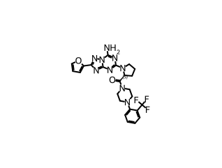 Nc1nc(N2CCC[C@H]2C(=O)N2CCN(c3ccccc3C(F)(F)F)CC2)nc2nc(-c3ccco3)nn12